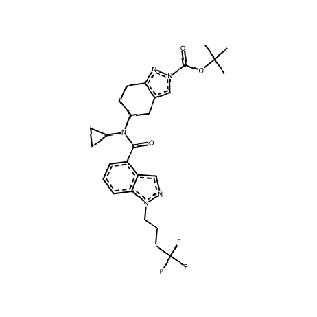 CC(C)(C)OC(=O)n1cc2c(n1)CCC(N(C(=O)c1cccc3c1cnn3CCCC(F)(F)F)C1CC1)C2